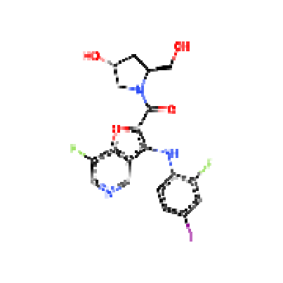 O=C(c1oc2c(F)cncc2c1Nc1ccc(I)cc1F)N1C[C@H](O)C[C@H]1CO